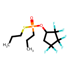 CCCSP(=O)(CCC)OC1CC(F)(F)C(F)(F)C1(F)F